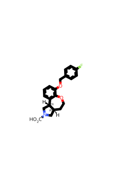 O=C(O)N1C[C@@H]2CCOc3c(OCc4ccc(F)cc4)cccc3[C@H]2C1